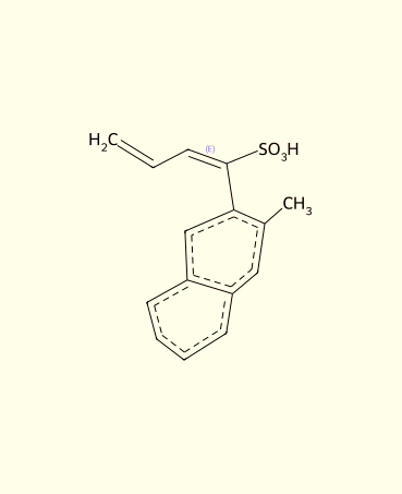 C=C/C=C(\c1cc2ccccc2cc1C)S(=O)(=O)O